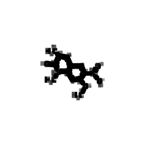 COc1cc2c(cc1[N+](=O)[O-])cc(C)c(=O)n2C